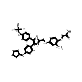 Cc1cc(OCc2nc(-c3ccc(OC4CCCC4)cc3)c(-c3ccc(OC(F)(F)F)cc3)o2)ccc1OCC(=O)O